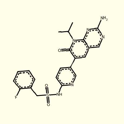 CC(C)n1c(=O)c(-c2ccc(NS(=O)(=O)Cc3ccccc3F)nc2)cc2cnc(N)nc21